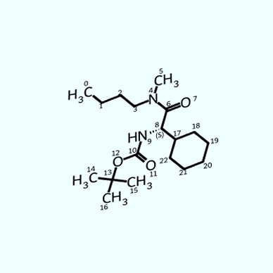 CCCCN(C)C(=O)[C@@H](NC(=O)OC(C)(C)C)C1CCCCC1